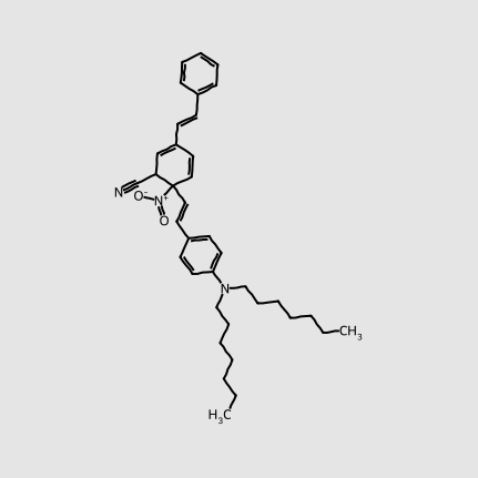 CCCCCCCN(CCCCCCC)c1ccc(C=CC2([N+](=O)[O-])C=CC(C=Cc3ccccc3)=CC2C#N)cc1